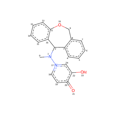 CN(C1c2ccccc2COc2ccccc21)n1ccc(=O)c(O)c1